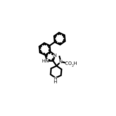 CN(C(=O)O)C1(c2nc3c(-c4ccccc4)cccc3[nH]2)CCNCC1